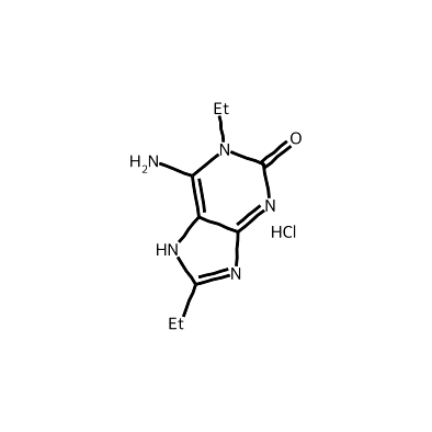 CCc1nc2nc(=O)n(CC)c(N)c2[nH]1.Cl